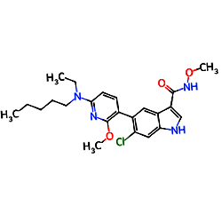 CCCCCN(CC)c1ccc(-c2cc3c(C(=O)NOC)c[nH]c3cc2Cl)c(OC)n1